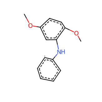 COc1ccc(OC)c(Nc2[c]cccc2)c1